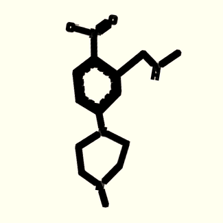 CNCc1cc(N2CCN(C)CC2)ccc1[N+](=O)[O-]